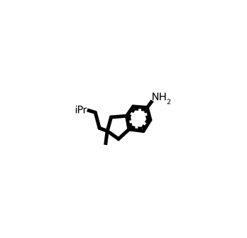 CC(C)CCC1(C)Cc2ccc(N)cc2C1